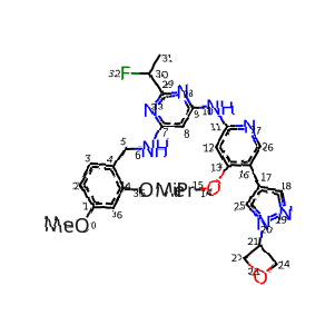 COc1ccc(CNc2cc(Nc3cc(OC(C)C)c(-c4cnn(C5COC5)c4)cn3)nc(C(C)F)n2)c(OC)c1